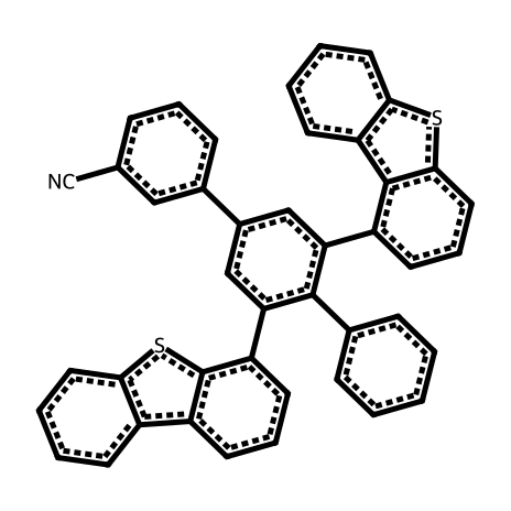 N#Cc1cccc(-c2cc(-c3cccc4c3sc3ccccc34)c(-c3ccccc3)c(-c3cccc4sc5ccccc5c34)c2)c1